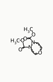 COC(=O)n1ccoccn1C(=O)OC